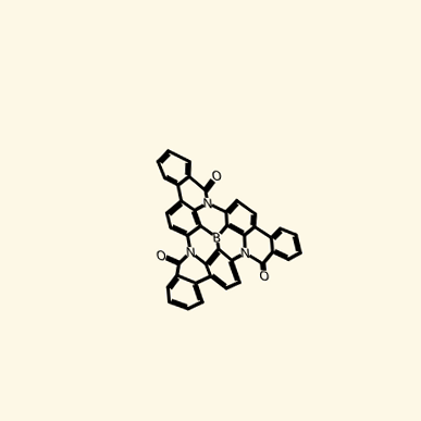 O=c1c2ccccc2c2ccc3c4c2n1-c1ccc2c5ccccc5c(=O)n5c2c1B4c1c-5ccc2c4ccccc4c(=O)n-3c12